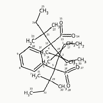 CCC(C)(C)C(c1ccccc1C(P(=O)=O)(C(C)(C)CC)C(C)(C)CC)(P(=O)=O)C(C)(C)CC